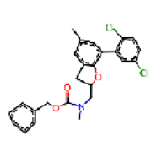 Cc1cc2c(c(-c3cc(Cl)ccc3Cl)c1)OC(CN(C)C(=O)OCc1ccccc1)C2